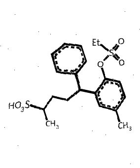 CCS(=O)(=O)Oc1ccc(C)cc1C(CCC(C)S(=O)(=O)O)c1ccccc1